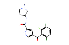 O=C(NC1CCN(C(=O)O)C1)c1cc(C(=O)c2c(Cl)ccc(Cl)c2F)c[nH]1